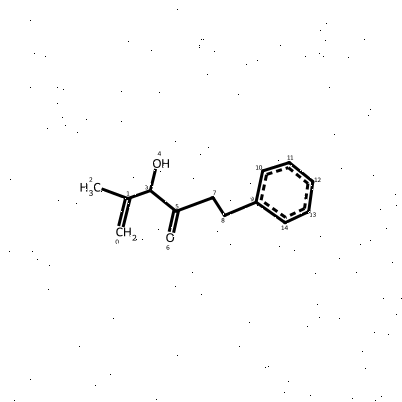 C=C(C)C(O)C(=O)CCc1ccccc1